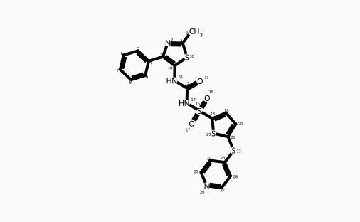 Cc1nc(-c2ccccc2)c(NC(=O)NS(=O)(=O)c2ccc(Sc3ccncc3)s2)s1